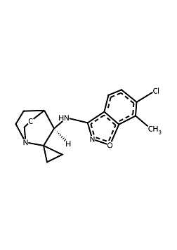 Cc1c(Cl)ccc2c(N[C@@H]3C4CCN(CC4)C34CC4)noc12